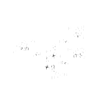 CC(=O)NC1C(OCCCCCC(=O)NCCCCCC(=O)N(CCO)CCOP(=O)(O)OCCN(CCOP(=O)(O)OCCN(CCOCC(C)C)C(=O)CCCCCNC(=O)CCCCCOC2OC(CO)C(O)C(O)C2NC(C)=O)C(=O)CCCCCNC(=O)CCCCCOC2OC(CO)C(O)C(O)C2NC(C)=O)OC(CO)C(O)C1O